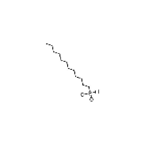 CCCCCCCCCCCCP(=O)(Cl)Cl